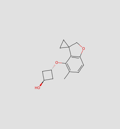 Cc1ccc2c(c1O[C@H]1C[C@H](O)C1)C1(CC1)CO2